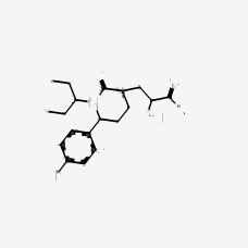 CCC(CC)N1C(=O)[C@@](C)(CC(O)C(N)=O)CCC1c1ccc(Cl)cc1